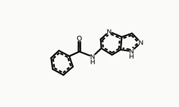 O=C(Nc1cnc2cn[nH]c2c1)c1ccccc1